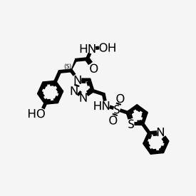 O=C(C[C@H](Cc1ccc(O)cc1)n1cc(CNS(=O)(=O)c2ccc(-c3ccccn3)s2)nn1)NO